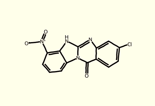 O=c1c2ccc(Cl)cc2nc2[nH]c3c([N+](=O)[O-])cccc3n12